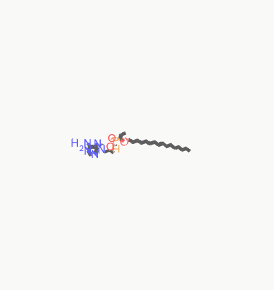 CCCCCCCCCCCCCCCCOC(CC)[PH](=O)COC(C)Cn1cnc2c(N)ncnc21